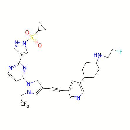 O=S(=O)(C1CC1)n1cc(-c2nccc(N3CC(C#Cc4cncc(C5CCC(NCCF)CC5)c4)=CN3CC(F)(F)F)n2)cn1